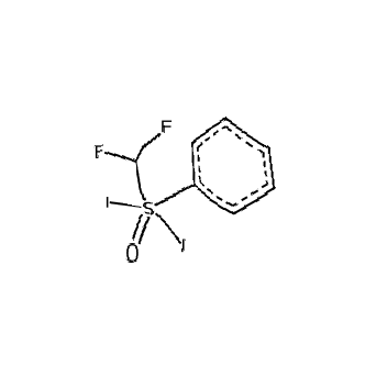 O=S(I)(I)(c1ccccc1)C(F)F